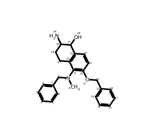 CN(Cc1ccccc1)c1c(OCc2ccccc2)ccc2c1CCC(N)C2O